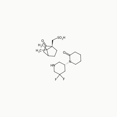 CC1(C)C2CC[C@@]1(CS(=O)(=O)O)C(=O)C2.O=C1CCCCN1[C@H]1CNCC(F)(F)C1